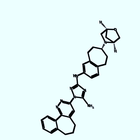 Nc1nc(Nc2ccc3c(c2)CC[C@H](N2C[C@@H]4C[C@H]2CO4)CC3)nn1-c1cc2c(nn1)-c1ccccc1CCC2